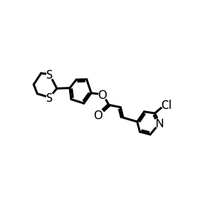 O=C(/C=C/c1ccnc(Cl)c1)Oc1ccc(C2SCCCS2)cc1